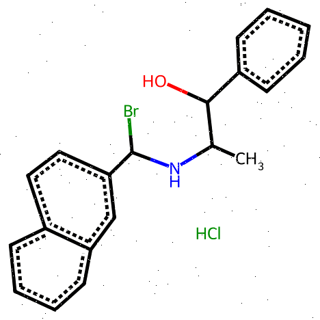 CC(NC(Br)c1ccc2ccccc2c1)C(O)c1ccccc1.Cl